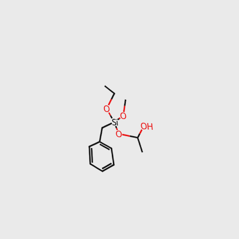 CCO[Si](Cc1ccccc1)(OC)OC(C)O